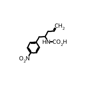 C=CCC(Cc1ccc([N+](=O)[O-])cc1)NC(=O)O